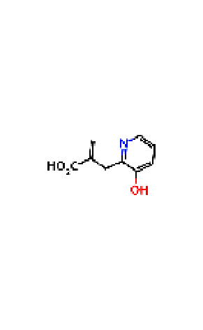 C=C(Cc1ncccc1O)C(=O)O